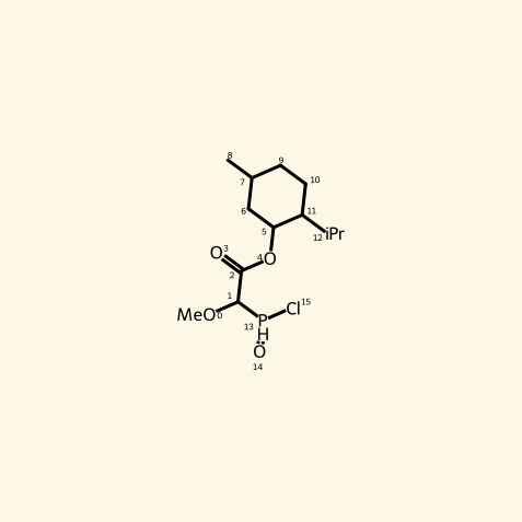 COC(C(=O)OC1CC(C)CCC1C(C)C)[PH](=O)Cl